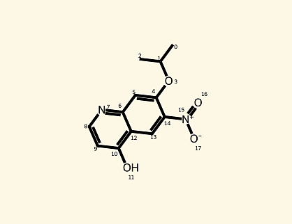 CC(C)Oc1cc2nccc(O)c2cc1[N+](=O)[O-]